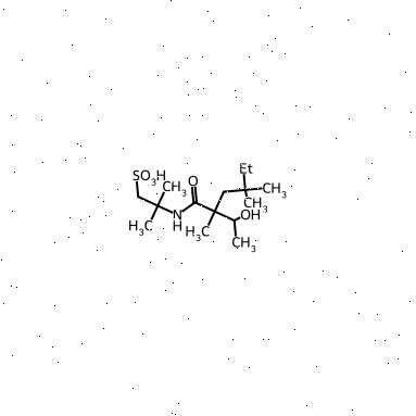 CCC(C)(C)CC(C)(C(=O)NC(C)(C)CS(=O)(=O)O)C(C)O